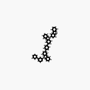 c1ccc(-c2cccc(-n3c4ccccc4c4cc(-c5ccc(-c6ccc7c(c6)c6ccccc6n7-c6ccc7oc8ccccc8c7c6)cc5)ccc43)c2)cc1